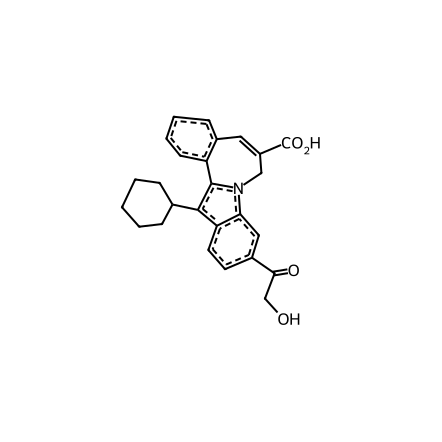 O=C(O)C1=Cc2ccccc2-c2c(C3CCCCC3)c3ccc(C(=O)CO)cc3n2C1